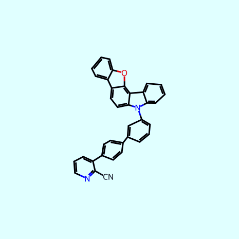 N#Cc1ncccc1-c1ccc(-c2cccc(-n3c4ccccc4c4c5oc6ccccc6c5ccc43)c2)cc1